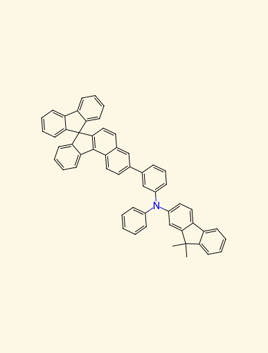 CC1(C)c2ccccc2-c2ccc(N(c3ccccc3)c3cccc(-c4ccc5c6c(ccc5c4)C4(c5ccccc5-c5ccccc54)c4ccccc4-6)c3)cc21